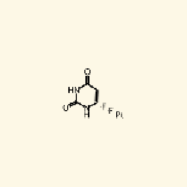 O=c1cc[nH]c(=O)[nH]1.[F].[F].[Pt]